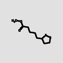 COC(=O)CCCCC1CCSS1